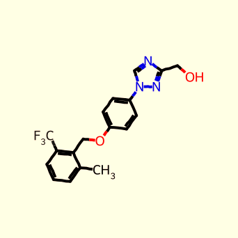 Cc1cccc(C(F)(F)F)c1COc1ccc(-n2cnc(CO)n2)cc1